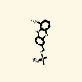 CC(C)(C)[Si](C)(C)OCc1ccc2c(c1)Oc1cccc([N+](=O)[O-])c1N2